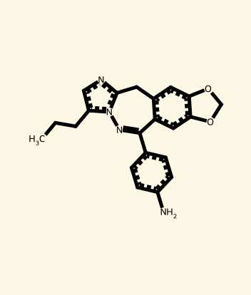 CCCc1cnc2n1N=C(c1ccc(N)cc1)c1cc3c(cc1C2)OCO3